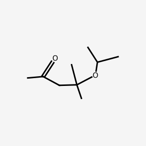 CC(=O)CC(C)(C)OC(C)C